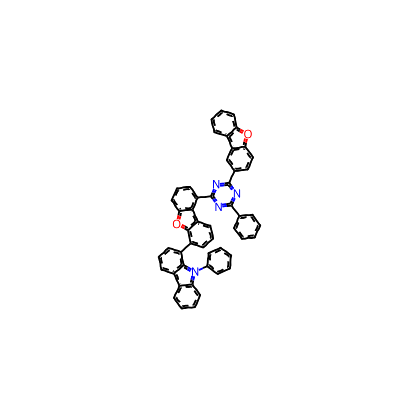 c1ccc(-c2nc(-c3ccc4oc5ccccc5c4c3)nc(-c3cccc4oc5c(-c6cccc7c8ccccc8n(-c8ccccc8)c67)cccc5c34)n2)cc1